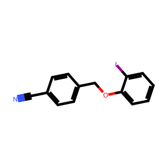 N#Cc1ccc(COc2ccccc2I)cc1